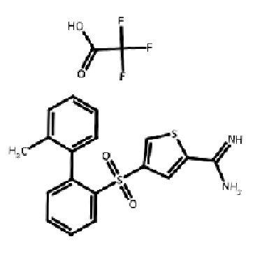 Cc1ccccc1-c1ccccc1S(=O)(=O)c1csc(C(=N)N)c1.O=C(O)C(F)(F)F